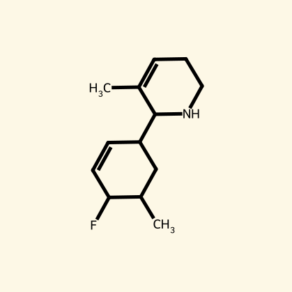 CC1=CCCNC1C1C=CC(F)C(C)C1